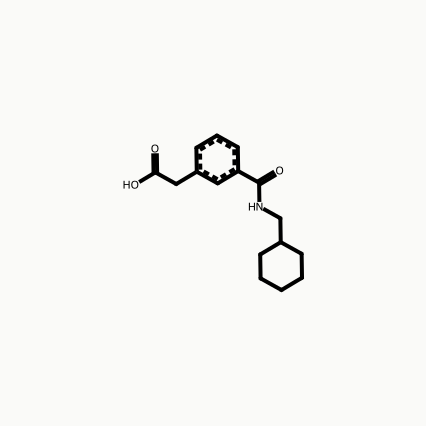 O=C(O)Cc1cccc(C(=O)NCC2CCCCC2)c1